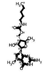 CCCCCNC(=O)OC[C@H]1[C@@H](O)[C@H](n2c[n+](C)c3c(=O)[nH]c(N)nc32)O[C@@H]1C